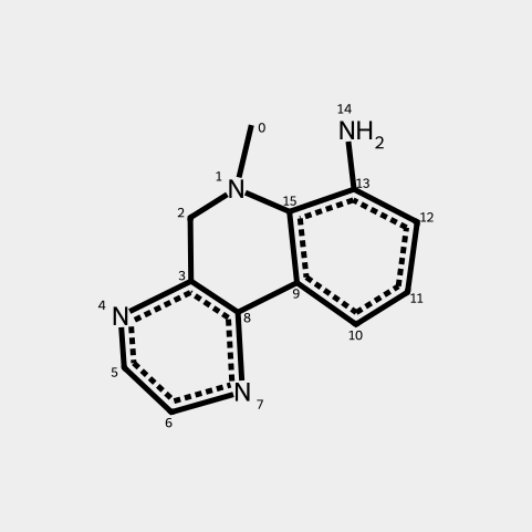 CN1Cc2nccnc2-c2cccc(N)c21